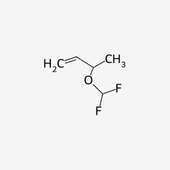 C=CC(C)OC(F)F